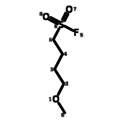 COCCCCS(=O)(=O)F